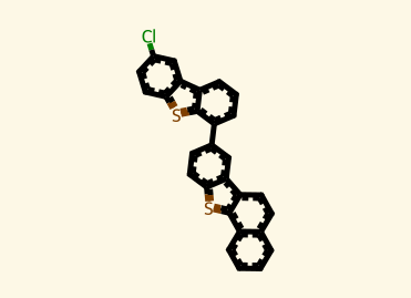 Clc1ccc2sc3c(-c4ccc5sc6c7ccccc7ccc6c5c4)cccc3c2c1